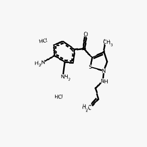 C=CCNN1CC(C)=C(C(=O)c2ccc(N)c(N)c2)S1.Cl.Cl